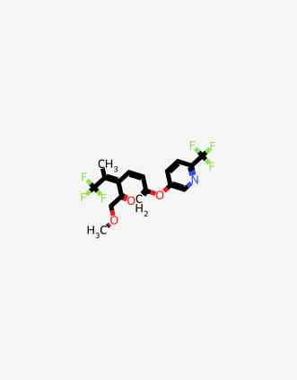 C=C(/C=C\C(C(=O)COC)=C(/C)C(F)(F)F)Oc1ccc(C(F)(F)F)nc1